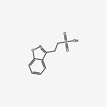 O=S(=O)(O)CCc1noc2ccccc12